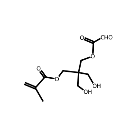 C=C(C)C(=O)OCC(CO)(CO)COC(=O)C=O